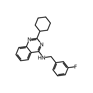 Fc1cccc(CNc2nc(C3CCCCC3)nc3ccccc23)c1